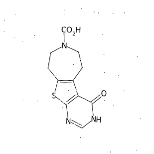 O=C(O)N1CCc2sc3nc[nH]c(=O)c3c2CC1